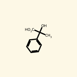 CC(O)(C(=O)O)c1ccccc1